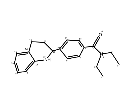 CCN(CC)C(=O)c1ccc(C2CCc3ccccc3N2)cc1